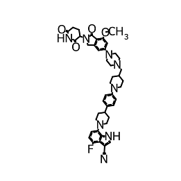 COc1cc(N2CCN(CC3CCN(c4ccc(C5CCN(c6ccc(F)c7c(C#N)c[nH]c67)CC5)cc4)CC3)CC2)cc2c1C(=O)N(C1CCC(=O)NC1=O)C2